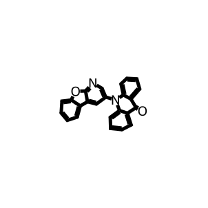 O=c1c2ccccc2n(-c2cnc3oc4ccccc4c3c2)c2ccccc12